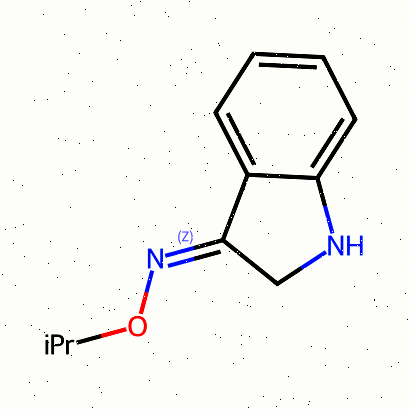 CC(C)O/N=C1\CNc2ccccc21